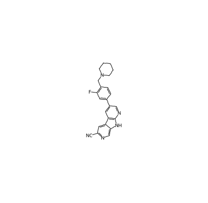 N#Cc1cc2c(cn1)[nH]c1ncc(-c3ccc(CN4CCCCC4)c(F)c3)cc12